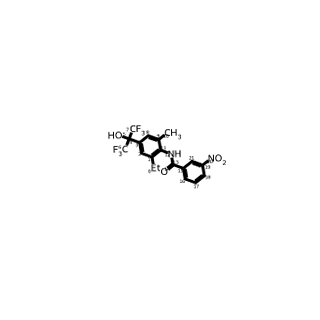 CCc1cc(C(O)(C(F)(F)F)C(F)(F)F)cc(C)c1NC(=O)c1cccc([N+](=O)[O-])c1